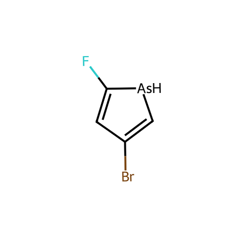 FC1=CC(Br)=C[AsH]1